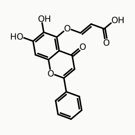 O=C(O)C=COc1c(O)c(O)cc2oc(-c3ccccc3)cc(=O)c12